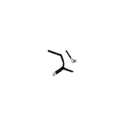 CCC(C)=O.CO